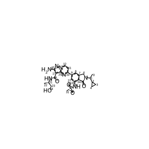 CC(C1CC1)N1Cc2cc(-c3ccn4nc(N)c(C(=O)N[C@H](C)CO)c4n3)cc(NS(C)(=O)=O)c2C1=O